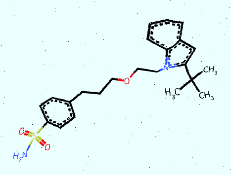 CC(C)(C)c1cc2ccccc2n1CCOCCCc1ccc(S(N)(=O)=O)cc1